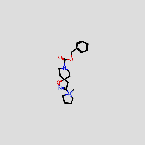 C[N+]1(C2=NOC3(CCN(C(=O)OCc4ccccc4)CC3)C2)CCCC1